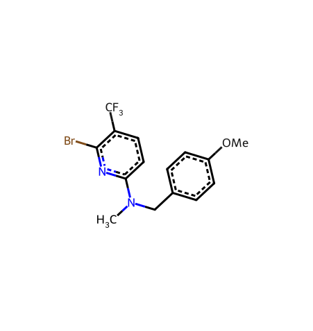 COc1ccc(CN(C)c2ccc(C(F)(F)F)c(Br)n2)cc1